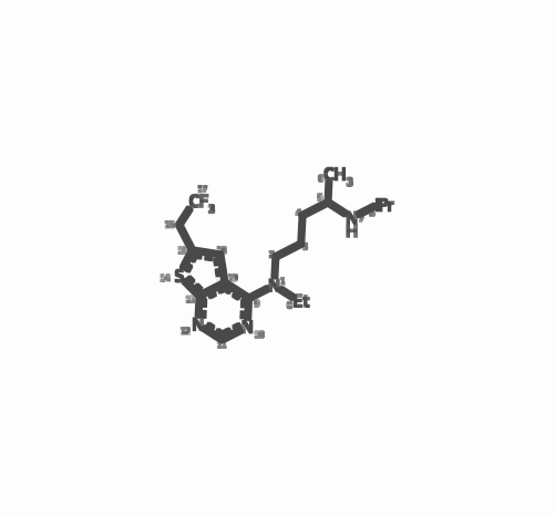 CCN(CCCC(C)NC(C)C)c1ncnc2sc(CC(F)(F)F)cc12